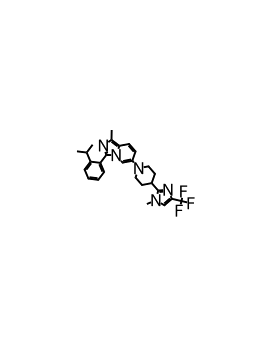 Cc1nc(-c2ccccc2C(C)C)n2cc(N3CCC(c4nc(C(F)(F)F)cn4C)CC3)ccc12